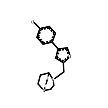 Clc1ccc(-c2csc(CN3CCN4CCC3CC4)c2)cc1